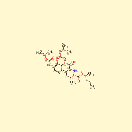 CCCC(C)OC(=O)OC(C)CC(c1ccc(OC(=O)OC(C)C)c(OC(=O)OC(C)C)c1)[C@H](N)C(=O)O